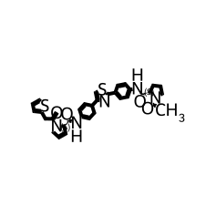 CC(=O)N1CCC[C@H]1C(=O)Nc1ccc(-c2nc(C3C=CC(NC(=O)[C@@H]4C=CCN4C(=O)Cc4cccs4)=CC3)cs2)cc1